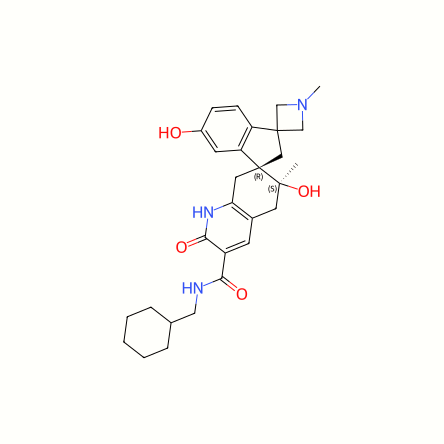 CN1CC2(C1)C[C@@]1(Cc3[nH]c(=O)c(C(=O)NCC4CCCCC4)cc3C[C@]1(C)O)c1cc(O)ccc12